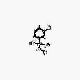 CCC[Si](CCC)(OCC)c1cccc(Cl)c1